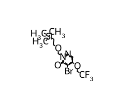 C[Si](C)(C)CCOCn1ncc(OCC(F)(F)F)c(Br)c1=O